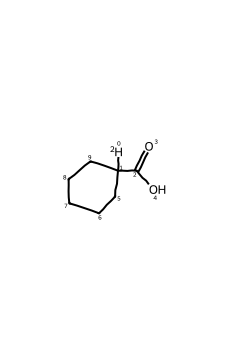 [2H]C1(C(=O)O)CCCCC1